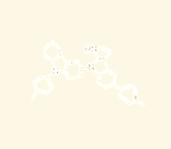 Cc1ccc(-c2ccc3c(c2)c2cc[nH]c2n3-c2ccc3c(c2)c2ccccc2n3-c2ccc(C)cc2)cc1